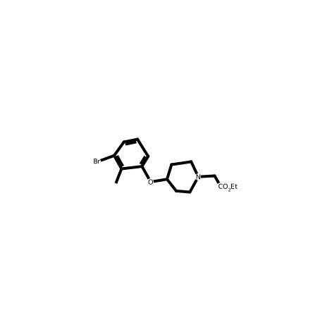 CCOC(=O)CN1CCC(Oc2cccc(Br)c2C)CC1